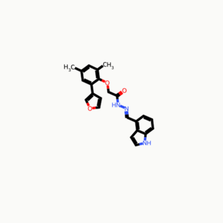 Cc1cc(C)c(OCC(=O)N/N=C/c2cccc3[nH]ccc23)c(-c2ccoc2)c1